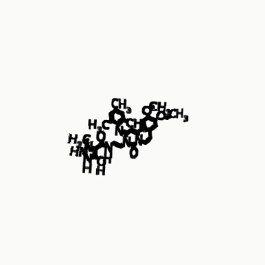 CCOc1cc2c(cc1OC)-c1c/c(=N\c3c(C)cc(C)cc3C)n(CCNC(=O)C3=C(O)NNN3C)c(=O)n1CC2